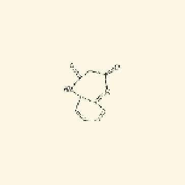 O=C1CC(=O)NC2C=CC=CC2=N1